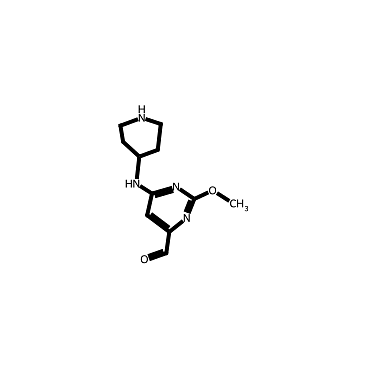 COc1nc(C=O)cc(NC2CCNCC2)n1